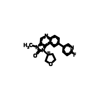 Cn1c(=O)n([C@H]2CCOC2)c2c3cc(-c4ccc(F)nc4)ccc3ncc21